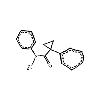 CCN(C(=O)C1(c2ccccc2)CC1)c1ccccc1